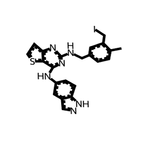 Cc1ccc(CNc2nc(Nc3ccc4[nH]ncc4c3)c3sccc3n2)cc1CI